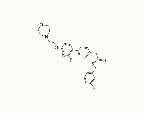 O=C(Cc1ccc(-c2ccc(OCCN3CCOCC3)nc2F)cc1)SCc1cccc(F)c1